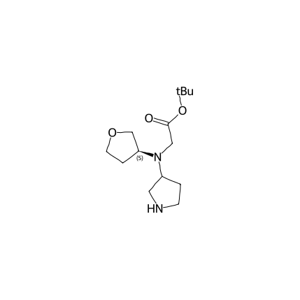 CC(C)(C)OC(=O)CN(C1CCNC1)[C@H]1CCOC1